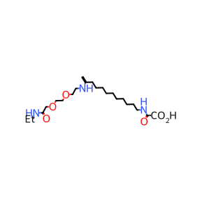 C=C(CCCCCCCCCCNC(=O)C(=O)O)NCCOCCOCC(=O)NCC